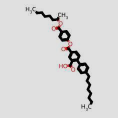 CCCCCCCCc1ccc(-c2ccc(C(=O)Oc3ccc(C(=O)OC(C)CCCCCC)cc3)cc2C(=O)O)cc1